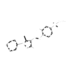 CNS(=O)(=O)c1ccc(N=Nc2c(C)[nH]n(-c3ccccc3)c2=O)c(C(=O)O)c1